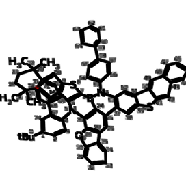 CC(C)(C)c1ccc(N2c3c(sc4cc5c(cc34)C(C)(C)CCC5(C)C)B3c4c(cc5c(oc6ccccc65)c42)-c2cc4sc5cc6ccccc6cc5c4cc2N3c2ccc(-c3ccccc3)cc2)c(-c2ccccc2)c1